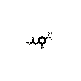 COC(=O)Cc1ccc(B(O)O)cc1Br